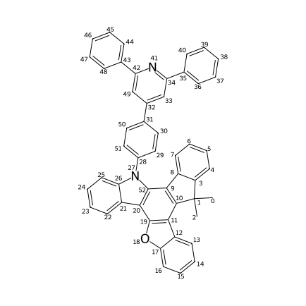 CC1(C)c2ccccc2-c2c1c1c3ccccc3oc1c1c3ccccc3n(-c3ccc(-c4cc(-c5ccccc5)nc(-c5ccccc5)c4)cc3)c21